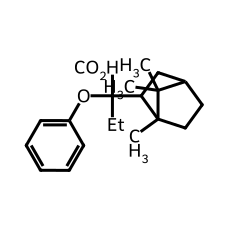 CCC(Oc1ccccc1)(C(=O)O)C1CC2CCC1(C)C2(C)C